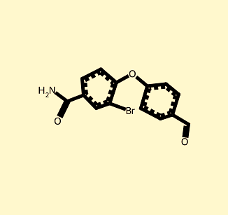 NC(=O)c1ccc(Oc2ccc(C=O)cc2)c(Br)c1